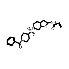 C=CC(=O)NC1CC2CCN(S(=O)(=O)C3CCN(C(=O)c4ccccc4)CC3)CC2O1